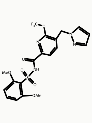 COc1cccc(OC)c1S(=O)(=O)NC(=O)c1ccc(Cn2cccn2)c(OC(F)(F)F)n1